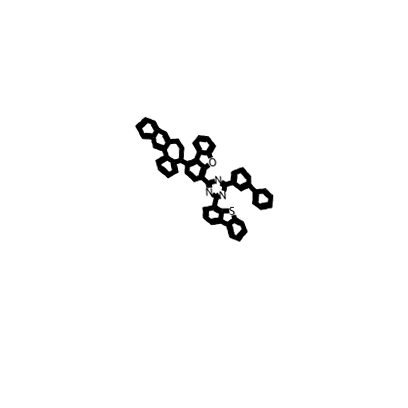 c1ccc(-c2cccc(-c3nc(-c4ccc(C5CCc6cc7ccccc7cc6-c6ccccc65)c5c4oc4ccccc45)nc(-c4cccc5c4sc4ccccc45)n3)c2)cc1